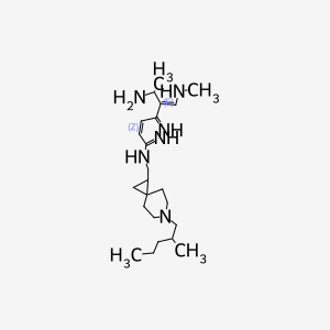 CCCC(C)CN1CCC2(CC1)CC2CNC(=N)/C=C\C(=N)/C(=C/NC)C(C)N